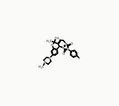 CN1CCN(c2ccc3c(c2)OC(C)(C)C2=CCn4c(=O)n(-c5ccc(F)cc5)c(=O)n4C23)CC1